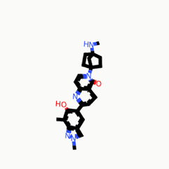 CNC12CCC(n3ccc4nc(-c5cc6cn(C)nc6c(C)c5O)ccc4c3=O)(CC1)C2